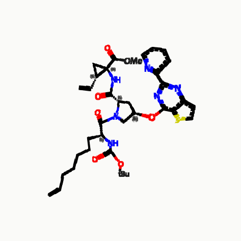 C=CCCCCC[C@H](NC(=O)OC(C)(C)C)C(=O)N1C[C@H](Oc2nc(-c3ccccn3)nc3ccsc23)C[C@H]1C(=O)N[C@]1(C(=O)OC)C[C@H]1C=C